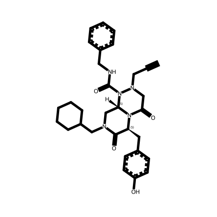 C#CCN1CC(=O)N2[C@@H](Cc3ccc(O)cc3)C(=O)N(CC3CCCCC3)C[C@@H]2N1C(=O)NCc1ccccc1